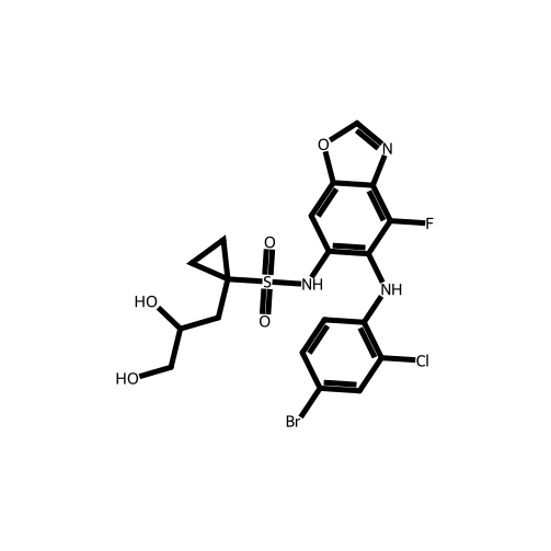 O=S(=O)(Nc1cc2ocnc2c(F)c1Nc1ccc(Br)cc1Cl)C1(CC(O)CO)CC1